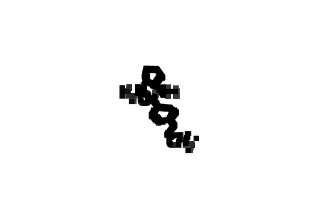 [CH2]CCc1ccc(C(=O)Nc2ccccc2N)cc1